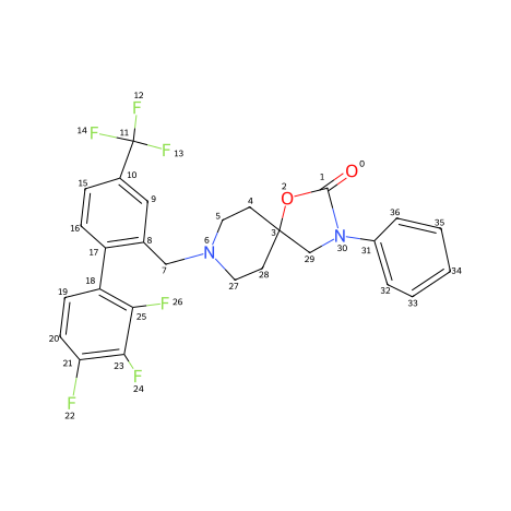 O=C1OC2(CCN(Cc3cc(C(F)(F)F)ccc3-c3ccc(F)c(F)c3F)CC2)CN1c1ccccc1